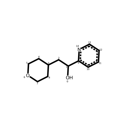 OC(CC1CCOCC1)c1ccccn1